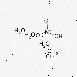 O.O.O.O.O=[N+]([O-])O.[Cu]